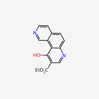 CCOC(=O)c1cnc2ccc3ccncc3c2c1O